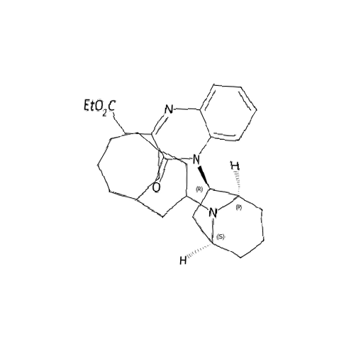 CCOC(=O)Cc1nc2ccccc2n([C@@H]2C[C@@H]3CCC[C@H]2N3C2CC3CCCCC(C3)C2)c1=O